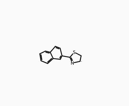 [CH]1CSC(c2ccc3ccccc3c2)=N1